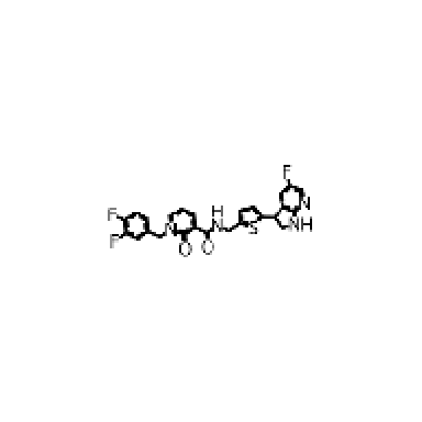 O=C(NCc1ccc(C2CNc3ncc(F)cc32)s1)c1cccn(Cc2ccc(F)c(F)c2)c1=O